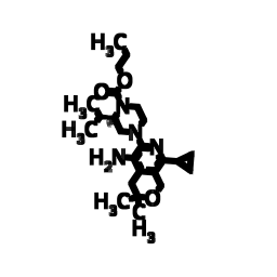 CCCOC(=O)N1CCN(c2nc(C3CC3)c3c(c2N)CC(C)(C)OC3)C[C@H]1C(C)C